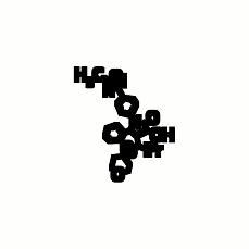 Cc1nc(-c2ccc(N3C(=O)C(O)=C(C(=O)C(C)C)C3c3ccccc3OC3CCOCC3)cc2)no1